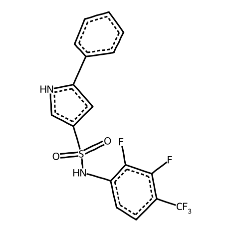 O=S(=O)(Nc1ccc(C(F)(F)F)c(F)c1F)c1c[nH]c(-c2ccccc2)c1